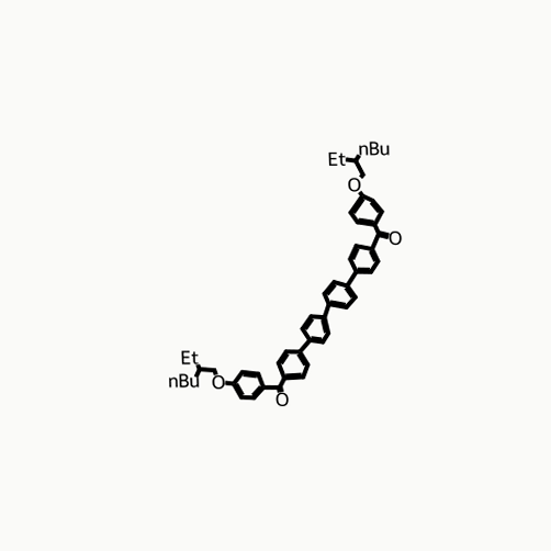 CCCCC(CC)COc1ccc(C(=O)c2ccc(-c3ccc(-c4ccc(-c5ccc(C(=O)c6ccc(OCC(CC)CCCC)cc6)cc5)cc4)cc3)cc2)cc1